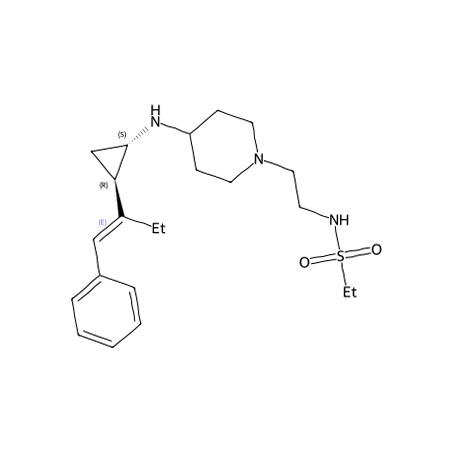 CC/C(=C\c1ccccc1)[C@H]1C[C@@H]1NC1CCN(CCNS(=O)(=O)CC)CC1